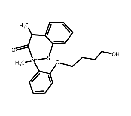 CC1C(=O)[N+](C)(c2ccccc2OCCCCO)Sc2ccccc21